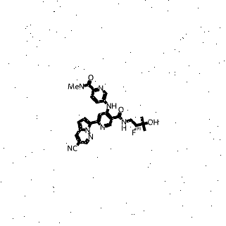 CNC(=O)c1ccc(Nc2cc(-c3ccc4cc(C#N)cnn34)ncc2C(=O)NC[C@@H](F)C(C)(C)O)cn1